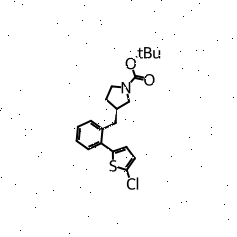 CC(C)(C)OC(=O)N1CC[C@H](Cc2ccccc2-c2ccc(Cl)s2)C1